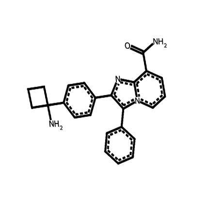 NC(=O)c1cccn2c(-c3ccccc3)c(-c3ccc(C4(N)CCC4)cc3)nc12